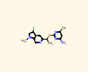 CC(Sc1nc(N)cc(C#N)n1)c1cc2c(F)cn(C)c2cn1